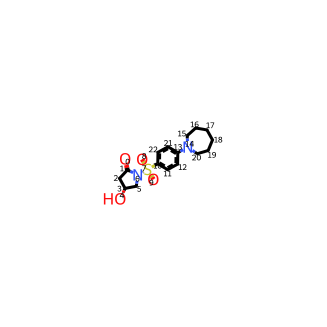 O=C1CC(O)CN1S(=O)(=O)c1ccc(N2CCCCCC2)cc1